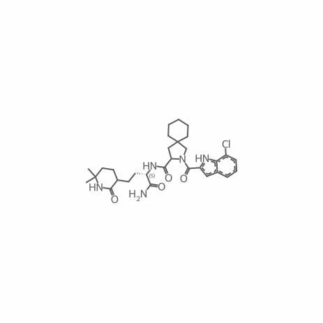 CC1(C)CCC(CC[C@H](NC(=O)C2CC3(CCCCC3)CN2C(=O)c2cc3cccc(Cl)c3[nH]2)C(N)=O)C(=O)N1